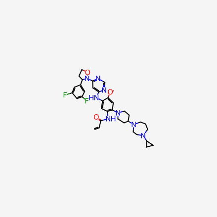 C=CC(=O)Nc1cc(Nc2cc(N3OCCC3c3cc(F)cc(F)c3)ncn2)c(OC)cc1N1CCC(N2CCCN(C3CC3)CC2)CC1